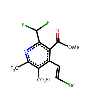 CCOC(=O)c1c(C(F)(F)F)nc(C(F)F)c(C(=O)OC)c1C=CBr